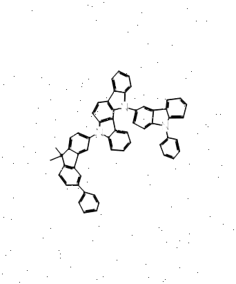 CC1(C)c2ccc(-c3ccccc3)cc2-c2cc(-n3c4ccccc4c4c3ccc3c5ccccc5n(-c5ccc6c(c5)c5ccccc5n6-c5ccccc5)c34)ccc21